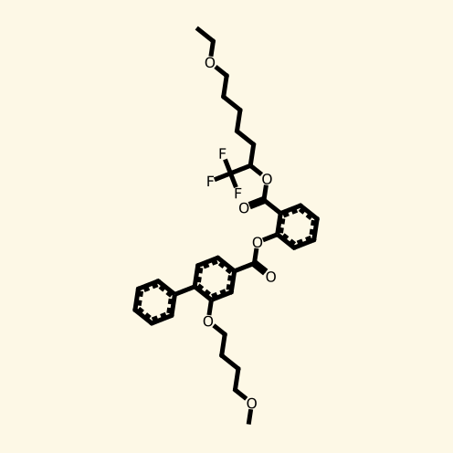 CCOCCCCCC(OC(=O)c1ccccc1OC(=O)c1ccc(-c2ccccc2)c(OCCCCOC)c1)C(F)(F)F